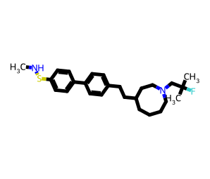 CNSc1ccc(-c2ccc(CCC3CCCCN(CC(C)(C)F)CC3)cc2)cc1